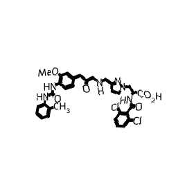 COc1cc(CC(=O)CNCC2=NN(CC(NC(=O)c3c(Cl)cccc3Cl)C(=O)O)CC2)ccc1NC(=O)Nc1ccccc1C